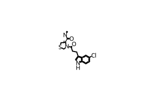 C=NC(=O)[C@@H]1CSCN1C(=O)CCc1c[nH]c2ccc(Cl)cc12